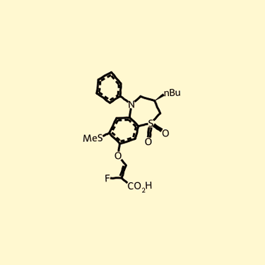 CCCC[C@@H]1CN(c2ccccc2)c2cc(SC)c(O/C=C(\F)C(=O)O)cc2S(=O)(=O)C1